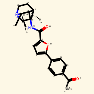 CNC(=O)c1ccc(-c2ccc(C(=O)N[C@@H]3C4CCN(CC4)[C@H]3C)o2)cc1